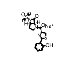 O=C([C@H]1CSC(c2ccccc2O)=N1)N1CC[C@@H]2[C@H]1C(=O)N2S(=O)(=O)[O-].[Na+]